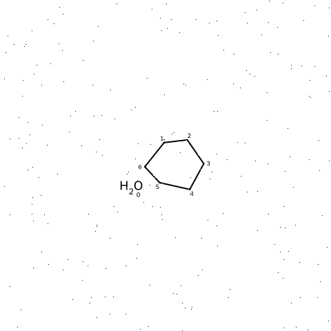 O.[CH]1CCCCC1